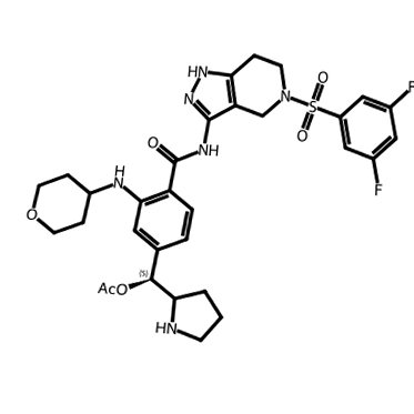 CC(=O)O[C@@H](c1ccc(C(=O)Nc2n[nH]c3c2CN(S(=O)(=O)c2cc(F)cc(F)c2)CC3)c(NC2CCOCC2)c1)C1CCCN1